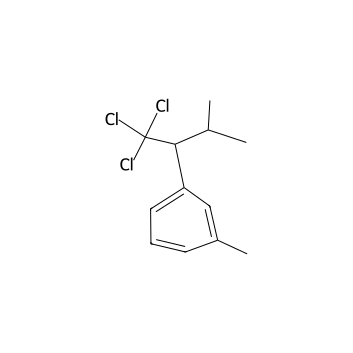 Cc1cccc(C(C(C)C)C(Cl)(Cl)Cl)c1